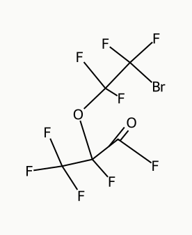 O=C(F)C(F)(OC(F)(F)C(F)(F)Br)C(F)(F)F